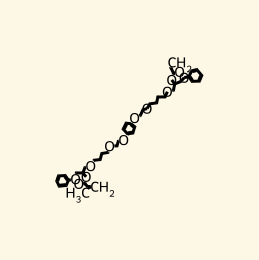 C=CC(=O)OC(COCCCCOCCOc1ccc(OCCOCCCCOCC(COc2ccccc2)OC(=O)C(=C)C)cc1)COc1ccccc1